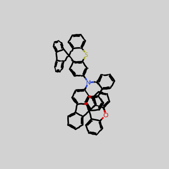 c1ccc(-c2ccccc2N(c2ccc3c(c2)Sc2ccccc2C32c3ccccc3-c3ccccc32)c2ccc3c(c2)C2(c4ccccc4Oc4ccccc42)c2ccccc2-3)cc1